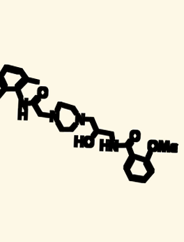 COc1ccccc1C(=O)NCC(O)CN1CCN(CC(=O)Nc2c(C)cccc2C)CC1